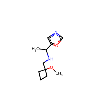 COC1(CNC(C)c2cnco2)CCC1